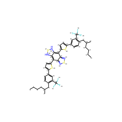 CCCCC(C)Cc1ccc(-c2ccc(-c3c4c(c(-c5ccc(-c6ccc(CC(C)CCCC)c(C(F)(F)F)c6)s5)c5nsnc35)NSN4)s2)cc1C(F)(F)F